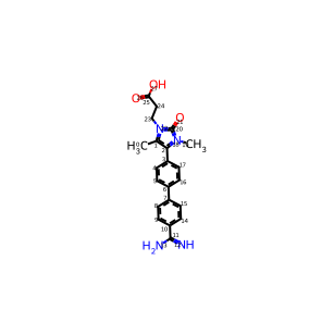 Cc1c(-c2ccc(-c3ccc(C(=N)N)cc3)cc2)n(C)c(=O)n1CCC(=O)O